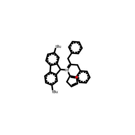 CC(C)(C)c1ccc2c(c1)[CH]([Hf]([C]1=CC=CC1)=[C](Cc1ccccc1)Cc1ccccc1)c1cc(C(C)(C)C)ccc1-2